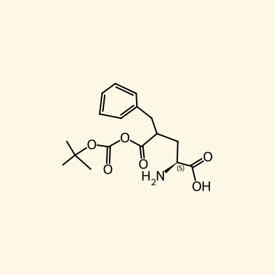 CC(C)(C)OC(=O)OC(=O)C(Cc1ccccc1)C[C@H](N)C(=O)O